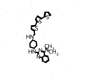 CN(C)c1nc(N[C@H]2CC[C@@H](NCc3ccc(-c4ccc(-c5cccs5)s4)s3)CC2)nc2ccccc12